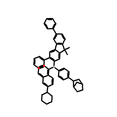 CC1(C)c2ccc(-c3ccccc3)cc2-c2cc(-c3ccccc3)c(N(c3ccc(C4CC5CCC4C5)cc3)c3cccc4cc(C5CCCCC5)ccc34)cc21